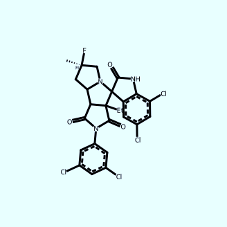 CCC12C(=O)N(c3cc(Cl)cc(Cl)c3)C(=O)C1C1C[C@@](C)(F)CN1C21C(=O)Nc2c(Cl)cc(Cl)cc21